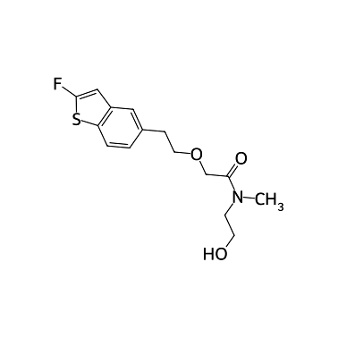 CN(CCO)C(=O)COCCc1ccc2sc(F)cc2c1